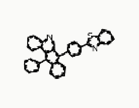 c1ccc(-c2c3ccccc3c(-c3ccc(-c4nc5ccccc5s4)cc3)c3cnc4ccccc4c23)cc1